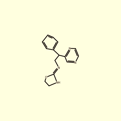 c1ccc(C(CN=C2NCCO2)c2cnccn2)cc1